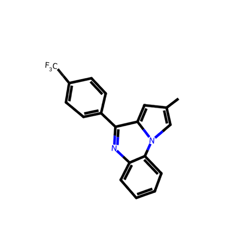 Cc1cc2c(-c3ccc(C(F)(F)F)cc3)nc3ccccc3n2c1